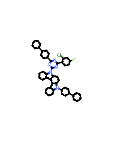 Fc1ccc(-c2nc(-c3ccc(-c4ccccc4)cc3)nc(-n3c4ccccc4c4c5c6ccccc6n(-c6ccc(-c7ccccc7)cc6)c5ccc43)n2)c(Cl)c1